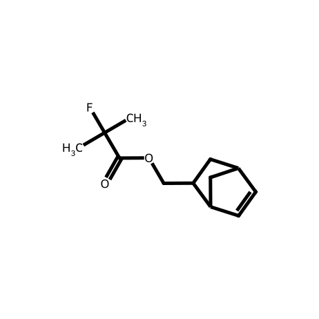 CC(C)(F)C(=O)OCC1CC2C=CC1C2